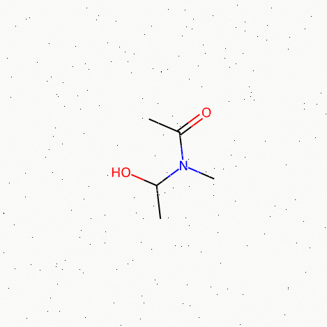 CC(=O)N(C)C(C)O